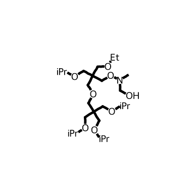 CCOCC(COCC(COC(C)C)(COC(C)C)COC(C)C)(COC(C)C)CON(C)CO